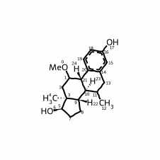 COC1C[C@]2(C)[C@H](O)CC[C@H]2[C@@H]2C(C)Cc3cc(O)ccc3[C@@H]12